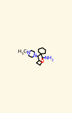 CN1CCN(C(C2CCC2)C2(C(N)=O)CCCCC2)CC1